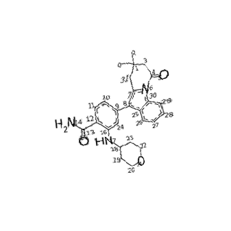 CC1(C)CC(=O)n2c(c(-c3ccc(C(N)=O)c(NC4CCOCC4)c3)c3ccccc32)C1